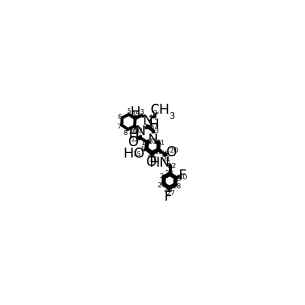 CCN1C[C@@H]2CCCC[C@@H]2N2C(=O)c3c(O)c(=O)c(C(=O)NCc4ccc(F)cc4F)cn3C[C@@H]12